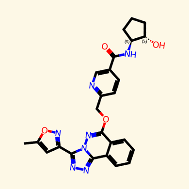 Cc1cc(-c2nnc3c4ccccc4c(OCc4ccc(C(=O)N[C@H]5CCC[C@@H]5O)cn4)nn23)no1